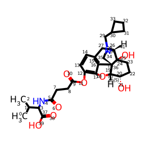 CC(C)C(NC(=O)CCC(=O)Oc1ccc2c3c1O[C@H]1[C@@H](O)CC[C@@]4(O)[C@@H](C2)N(CC2CCC2)CC[C@]314)C(=O)O